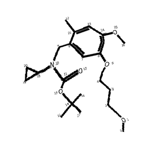 COCCCOc1cc(CN(C(=O)OC(C)(C)C)C2CC2)c(C)cc1OC